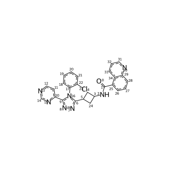 O=C(NC1CC(c2nnc(-c3ccncn3)n2-c2ccccc2Cl)C1)c1cccc2ncccc12